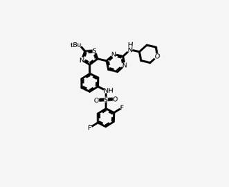 CC(C)(C)c1nc(-c2cccc(NS(=O)(=O)c3cc(F)ccc3F)c2)c(-c2ccnc(NC3CCOCC3)n2)s1